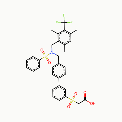 Cc1cc(C)c(C(F)(F)F)c(C)c1CN(Cc1ccc(-c2cccc(S(=O)(=O)CC(=O)O)c2)cc1)S(=O)(=O)c1ccccc1